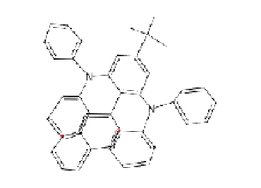 CC(C)(C)c1cc(N(c2ccccc2)c2ccccc2)c(-c2ccc3ccccc3c2)c(N(c2ccccc2)c2ccccc2)c1